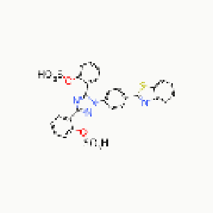 O=S(=O)(O)Oc1ccccc1-c1nc(-c2ccccc2OS(=O)(=O)O)n(-c2ccc(-c3nc4ccccc4s3)cc2)n1